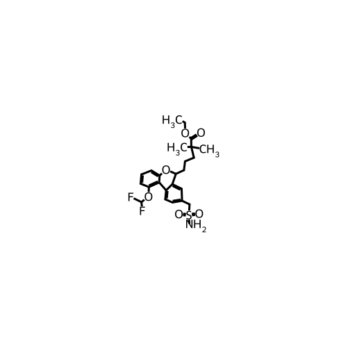 CCOC(=O)C(C)(C)CCCC1Oc2cccc(OC(F)F)c2-c2ccc(CS(N)(=O)=O)cc21